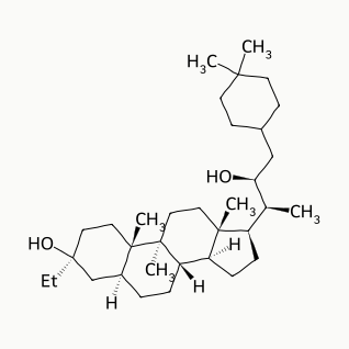 CC[C@]1(O)CC[C@@]2(C)[C@@H](CC[C@H]3[C@@H]4CC[C@H]([C@H](C)[C@@H](O)CC5CCC(C)(C)CC5)[C@@]4(C)CC[C@@]32C)C1